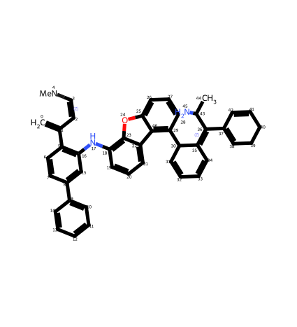 C=C(/C=C\NC)c1ccc(-c2ccccc2)cc1Nc1cccc2c1oc1cccc(C3C=CC=C/C3=C(\C3=CCCC=C3)C(C)N)c12